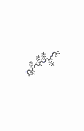 C=C/C=C\[C@H](C)[C@H](O)[C@@H](C)[C@H](CC[C@H](C)C[C@H](C)[C@@H](O[Si](C)(C)C(C)(C)C)[C@@H](C)/C=C\[C@H](C[C@H](O[Si](C)(C)C(C)(C)C)[C@H](C)/C=C/C=C\C(=O)OC)O[Si](C)(C)C(C)(C)C)O[Si](C)(C)C(C)(C)C